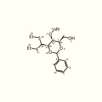 CCCO[C@H]1[C@@H](CO)OC(c2ccccc2)O[C@H]1C(SCC)SCC